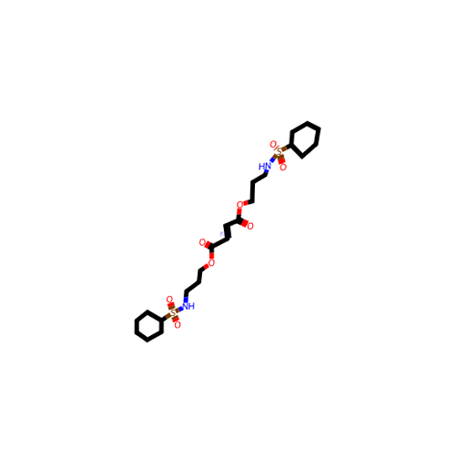 O=C(/C=C/C(=O)OCCCNS(=O)(=O)C1CCCCC1)OCCCNS(=O)(=O)C1CCCCC1